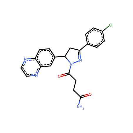 NC(=O)CCC(=O)N1N=C(c2ccc(Cl)cc2)CC1c1ccc2nccnc2c1